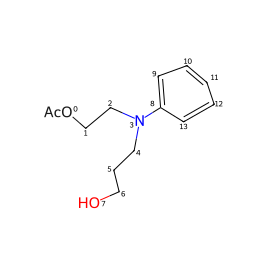 CC(=O)OCCN(CCCO)c1ccccc1